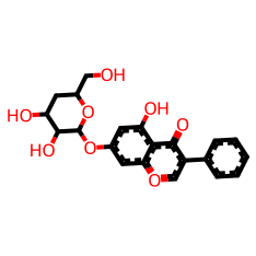 O=c1c(-c2ccccc2)coc2cc(OC3OC(CO)CC(O)C3O)cc(O)c12